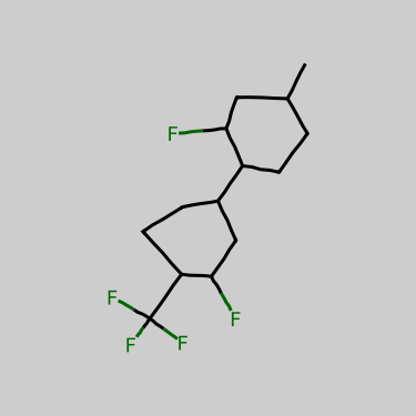 CC1CCC(C2CCC(C(F)(F)F)C(F)C2)C(F)C1